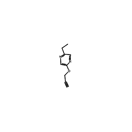 C#CCOc1cnc(CC)cn1